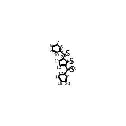 S=C1C(C(=S)c2ccccc2)=CC=C1C(=S)c1ccccc1